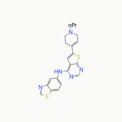 CCCN1CC=C(c2cc3c(Nc4ccc5scnc5c4)ncnc3s2)CC1